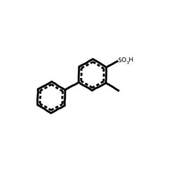 Cc1cc(-c2ccccc2)ccc1S(=O)(=O)O